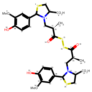 COc1cc(C2SCC(C(=O)O)N2C[C@H](C)C(=O)SSC(=O)[C@@H](C)CN2C(C(=O)O)CSC2c2ccc(O)c(OC)c2)ccc1O